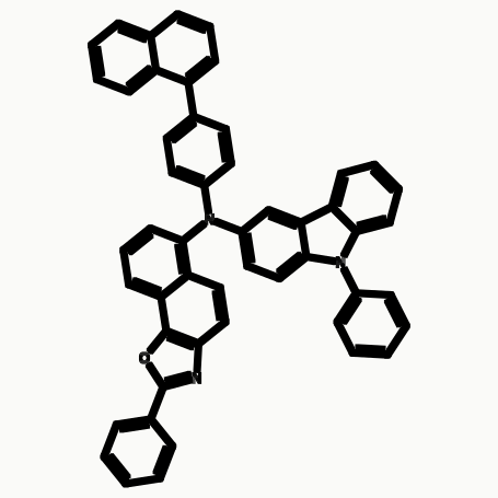 c1ccc(-c2nc3ccc4c(N(c5ccc(-c6cccc7ccccc67)cc5)c5ccc6c(c5)c5ccccc5n6-c5ccccc5)cccc4c3o2)cc1